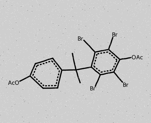 CC(=O)Oc1ccc(C(C)(C)c2c(Br)c(Br)c(OC(C)=O)c(Br)c2Br)cc1